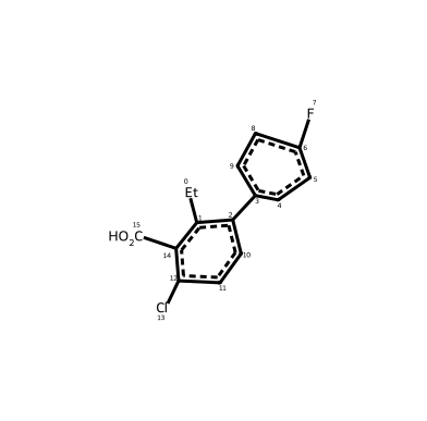 CCc1c(-c2ccc(F)cc2)ccc(Cl)c1C(=O)O